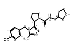 Cc1nnc(C2CCCN2C(=O)NCC2CCOC2)n1Cc1ccc(Cl)cc1